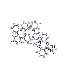 C[Si]1(C)Oc2ccccc2[Si](C)(c2ccc3c(c2)c2cccc4c2-c2c(cccc2c2ccccc23)c2ccccc2c2ccccc42)Oc2ccccc21